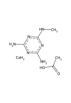 CC(=O)O.CNc1nc(N)nc(N)n1.[CaH2]